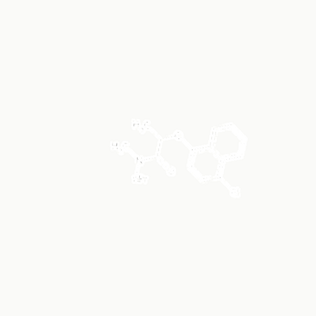 CCCN(C)C(=O)C(C)Oc1ccc(Cl)c2ccccc12